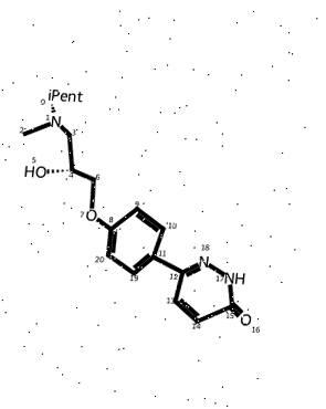 CCC[C@@H](C)N(C)C[C@@H](O)COc1ccc(-c2ccc(=O)[nH]n2)cc1